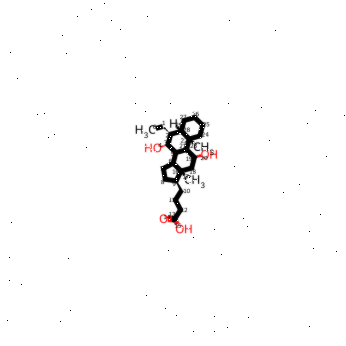 CC[C@H]1[C@@H](O)C2C3CC[C@H](CCCC(=O)O)[C@@]3(C)C[C@H](O)C2[C@@]2(C)CCCC[C@@H]12